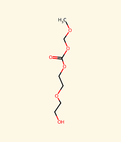 COCOC(=O)OCCOCCO